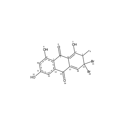 CC1C(O)=C2C(=O)c3c(O)cc(O)cc3C(=O)C2=CC1(Br)Br